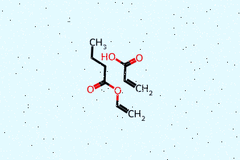 C=CC(=O)O.C=COC(=O)CCC